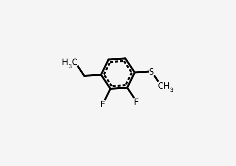 CCc1ccc(SC)c(F)c1F